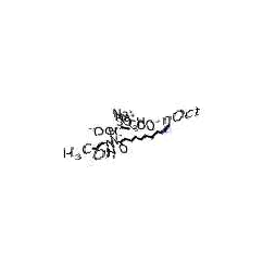 CCCCCCCC/C=C\CCCCCCCC(=O)NNCC(C)O.O=C([O-])CC(C(=O)[O-])S(=O)(=O)O.[Na+].[Na+]